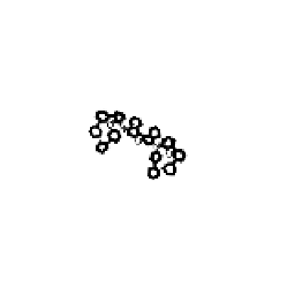 c1ccc(-c2ccc(N(c3cc4oc5cc(N(c6ccc(-c7ccccc7)cc6)c6cccc7c6oc6c(C8CCCCC8)cccc67)c6ccccc6c5c4c4ccccc34)c3cccc4c3oc3c(C5CCCCC5)cccc34)cc2)cc1